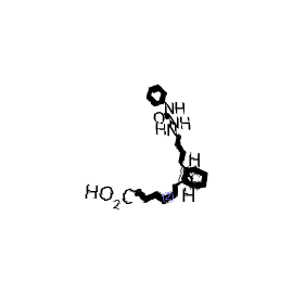 O=C(O)CCC/C=C\C[C@H]1[C@@H](CCCCNNC(=O)Nc2ccccc2)[C@H]2CC[C@@H]1S2